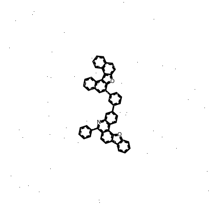 c1ccc(-c2nc3cc(-c4cccc(-c5cc6ccccc6c6c5oc5ccc7ccccc7c56)c4)ccc3c3c2ccc2c4ccccc4oc23)cc1